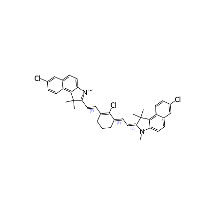 CN1/C(=C/C=C2\CCCC(/C=C/C3=[N+](C)c4ccc5cc(Cl)ccc5c4C3(C)C)=C2Cl)C(C)(C)c2c1ccc1cc(Cl)ccc21